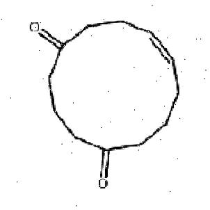 O=C1CCC=CCCCC(=O)CCC1